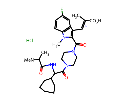 CNC(C)C(=O)NC(C(=O)N1CCN(C(=O)c2c(/C=C(\C)C(=O)O)c3cc(F)ccc3n2C)CC1)C1CCCCC1.Cl